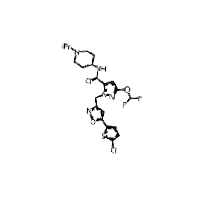 CC(C)N1CCC(NC(=O)c2cc(OC(F)F)nn2Cc2cc(-c3ccc(Cl)s3)on2)CC1